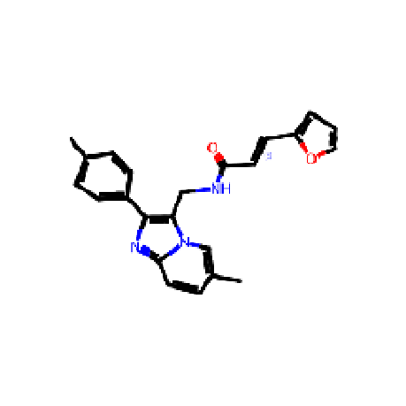 Cc1ccc(-c2nc3ccc(C)cn3c2CNC(=O)/C=C/c2ccco2)cc1